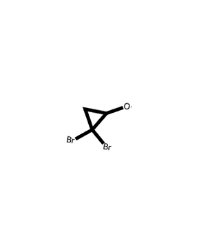 [O]C1CC1(Br)Br